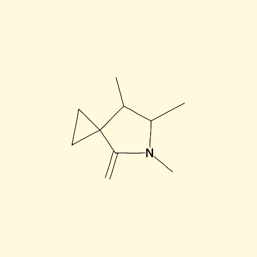 C=C1N(C)C(C)C(C)C12CC2